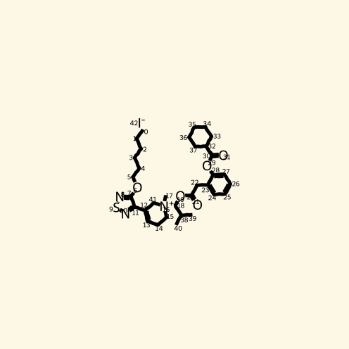 CCCCCCOc1nsnc1C1=CCC[N+](C)(C(OC(=O)Cc2ccccc2OC(=O)C2CCCCC2)C(C)C)C1.[I-]